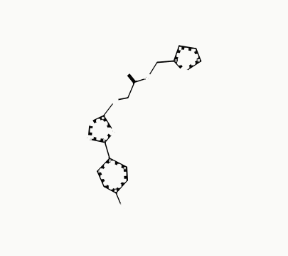 O=C(CSc1nc(-c2ccc(Br)cc2)ns1)NCc1ccco1